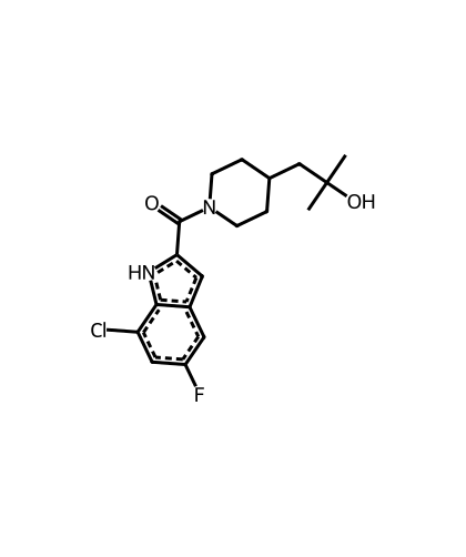 CC(C)(O)CC1CCN(C(=O)c2cc3cc(F)cc(Cl)c3[nH]2)CC1